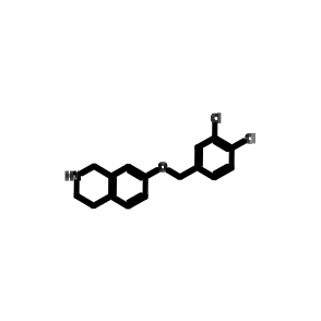 Clc1ccc(COc2ccc3c(c2)CNCC3)cc1Cl